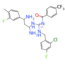 Cc1ccc(C(N)CC(N)N/C(=N\C(=O)c2ccc(C(F)(F)F)cc2)NCc2ccc(F)cc2Cl)cc1F